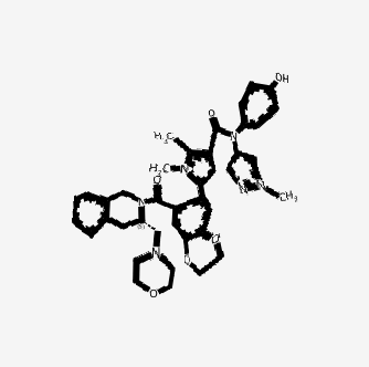 Cc1c(C(=O)N(c2ccc(O)cc2)c2cnn(C)c2)cc(-c2cc3c(cc2C(=O)N2Cc4ccccc4C[C@H]2CN2CCOCC2)OCCO3)n1C